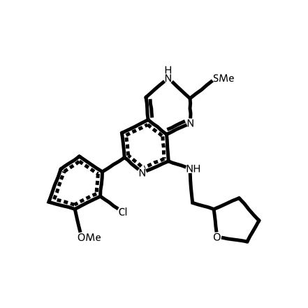 COc1cccc(-c2cc3c(c(NCC4CCCO4)n2)=NC(SC)NC=3)c1Cl